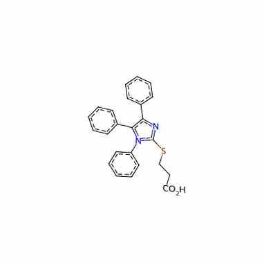 O=C(O)CCSc1nc(-c2ccccc2)c(-c2ccccc2)n1-c1ccccc1